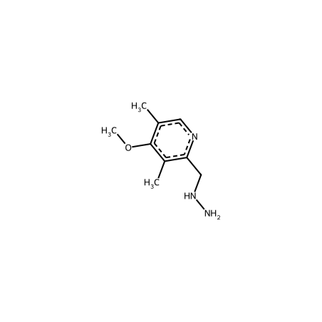 COc1c(C)cnc(CNN)c1C